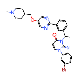 CC(c1cccc(-c2ncc(OCC3CCN(C)CC3)cn2)c1)n1c(=O)ccn2c3cc(Br)ccc3nc12